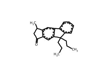 CCCC1(CCC)c2ccccc2-c2cc3c(cc21)C(=O)CC3C